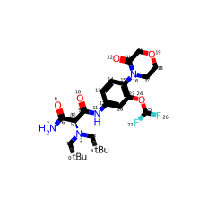 CC(C)(C)CN(CC(C)(C)C)[C@H](C(N)=O)C(=O)Nc1ccc(N2CCOCC2=O)c(OC(F)F)c1